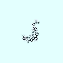 COc1cc(-c2nccc(-c3cccc(Nc4nccc(CN5CC[C@H](C(=O)O)C5)c4F)c3Cl)c2Cl)ccc1CNC[C@@H]1CCC(=O)N1